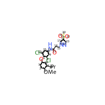 COc1ccc(Oc2c(Cl)cc(NC(=O)CCn3cc(S(C)(=O)=O)cn3)cc2Cl)cc1C(C)C